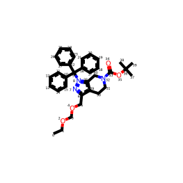 CCOCOCc1nn(C(c2ccccc2)(c2ccccc2)c2ccccc2)c2c1CCN(C(=O)OC(C)(C)C)C2